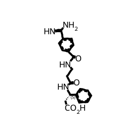 N=C(N)c1ccc(C(=O)NCCC(=O)N[C@@H](CC(=O)O)c2ccccc2)cc1